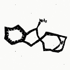 N[C@@H]1c2ccccc2CC12CC1CCC(C2)N1